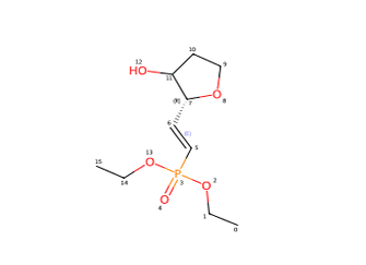 CCOP(=O)(/C=C/[C@H]1OCCC1O)OCC